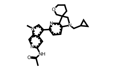 CC(=O)Nc1cc2c(-c3ccc4c(n3)C3(CCCOC3)CN4CC3CC3)cn(C)c2cn1